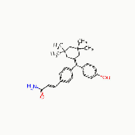 CC1(C)CC(=C(c2ccc(O)cc2)c2ccc(C=CC(N)=O)cc2)CC(C)(C)C1